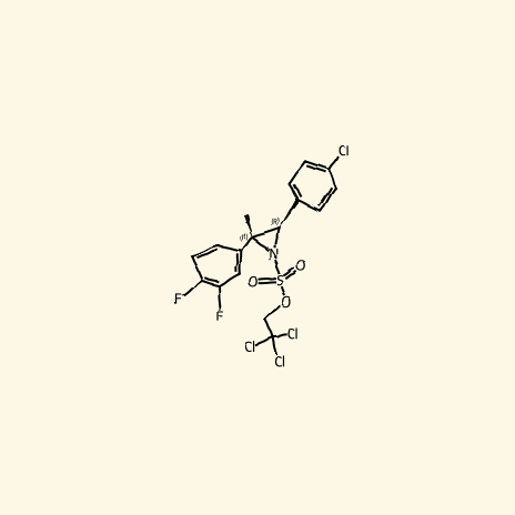 C[C@@]1(c2ccc(F)c(F)c2)[C@@H](c2ccc(Cl)cc2)N1S(=O)(=O)OCC(Cl)(Cl)Cl